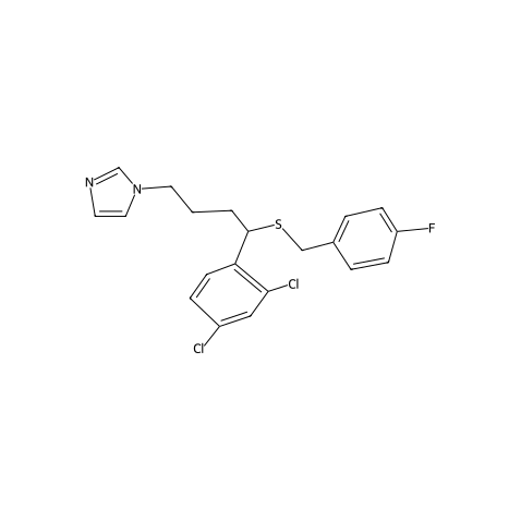 Fc1ccc(CSC(CCCn2ccnc2)c2ccc(Cl)cc2Cl)cc1